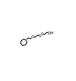 OCCSSCCOCCN1CCCCCC1